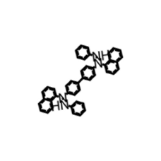 c1ccc(NN(c2ccc(-c3ccc(N(Nc4ccccc4)c4cccc5ccccc45)cc3)cc2)c2cccc3ccccc23)cc1